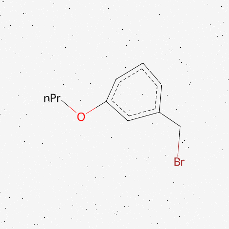 CCCOc1cccc(CBr)c1